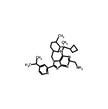 CC1CCC(Cn2c(-c3cc(C(C)C)ccn3)nc3nc(CN)nc(N[C@H](C)C4CCC4)c32)CC1